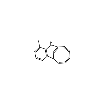 Cc1nccc2c1NC1=CC2C=C=C/C=C\1